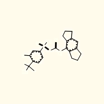 CC(C)(O)c1ccc(S(N)(=O)=NC(=O)Nc2c3c(cc4c2CCC4)CCC3)cc1F